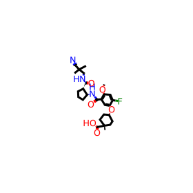 COc1cc(F)c(O[C@H]2CC[C@@](C)(C(=O)O)CC2)cc1C(=O)N[C@@H]1CCC[C@@H]1C(=O)NCC(C)(C)C#N